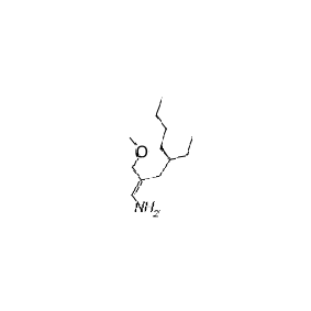 CCCC[C@@H](CC)C/C(=C\N)COC